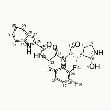 O=C[C@H](C[C@@H]1CCNC1O)NC(=O)[C@H](Cc1ccc(F)c(F)c1)NC(=O)c1cc2ccccc2[nH]1